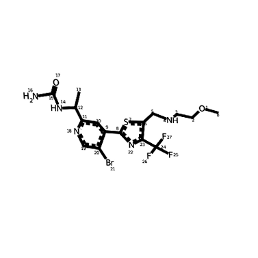 COCCNCc1sc(-c2cc(C(C)NC(N)=O)ncc2Br)nc1C(F)(F)F